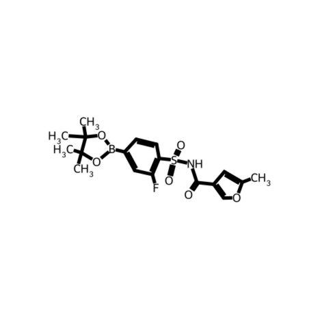 Cc1cc(C(=O)NS(=O)(=O)c2ccc(B3OC(C)(C)C(C)(C)O3)cc2F)co1